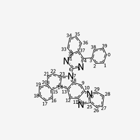 c1ccc(-c2nc(-n3c4cc5c(cc4c4c6ccccc6ccc43)nc3ccccn35)nc3ccccc23)cc1